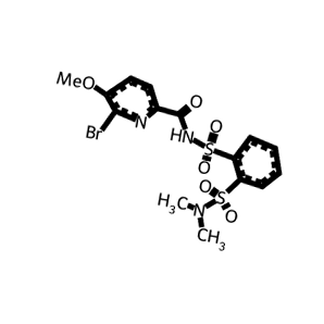 COc1ccc(C(=O)NS(=O)(=O)c2ccccc2S(=O)(=O)N(C)C)nc1Br